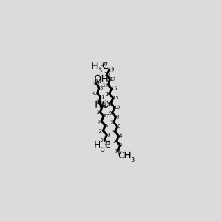 CCCCCCCCCCCC(O)CCCCCCCC.CCCCCCCCCCCCCCO